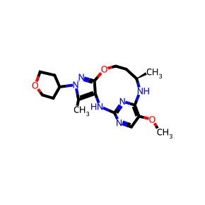 COc1cnc2nc1N[C@H](C)CCOc1nn(C3CCOCC3)c(C)c1N2